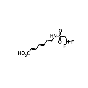 O=C(O)C=C/C=C/C=C/NS(=O)(=O)CN(F)F